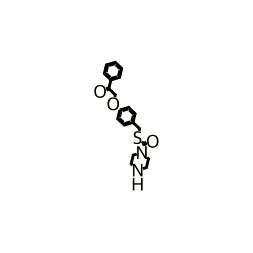 O=C(COc1ccc(CSC(=O)N2CCNCC2)cc1)c1ccccc1